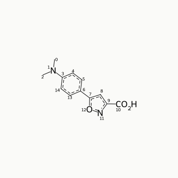 CN(C)c1ccc(-c2cc(C(=O)O)no2)cc1